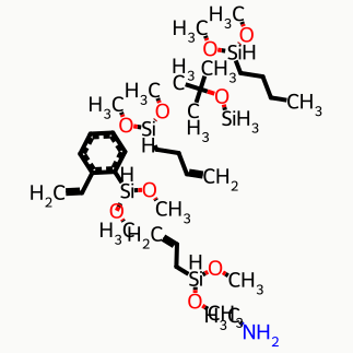 C=CCC[SiH](OC)OC.C=CC[SiH](OC)OC.C=Cc1ccccc1[SiH](OC)OC.CC(C)(C)O[SiH3].CCCC[SiH](OC)OC.CN